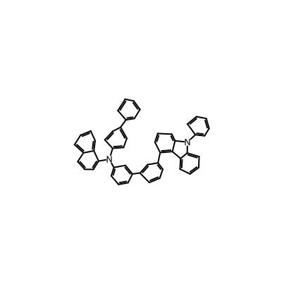 c1ccc(-c2ccc(N(c3cccc(-c4cccc(-c5cccc6c5c5ccccc5n6-c5ccccc5)c4)c3)c3cccc4ccccc34)cc2)cc1